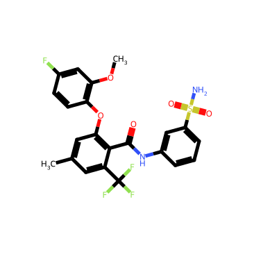 COc1cc(F)ccc1Oc1cc(C)cc(C(F)(F)F)c1C(=O)Nc1cccc(S(N)(=O)=O)c1